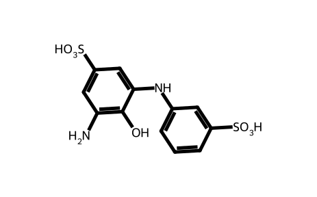 Nc1cc(S(=O)(=O)O)cc(Nc2cccc(S(=O)(=O)O)c2)c1O